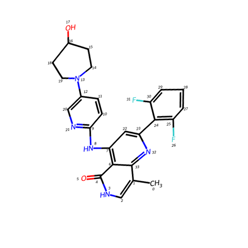 Cc1c[nH]c(=O)c2c(Nc3ccc(N4CCC(O)CC4)cn3)cc(-c3c(F)cccc3F)nc12